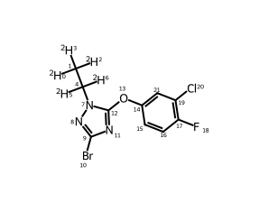 [2H]C([2H])([2H])C([2H])([2H])n1nc(Br)nc1Oc1ccc(F)c(Cl)c1